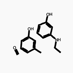 C=O.CCNc1cccc(O)c1.Cc1cccc(O)c1